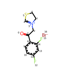 O=C(C[N+]1=CSCC1)c1ccc(F)cc1F.[Br-]